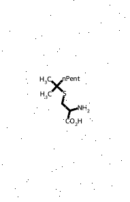 CCCCCC(C)(C)SCC(N)C(=O)O